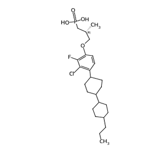 CCCC1CCC(C2CCC(c3ccc(OC[C@@H](C)CP(=O)(O)O)c(F)c3Cl)CC2)CC1